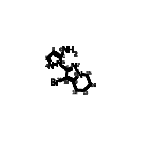 Nc1ccnn1-c1nn2c(c1Br)CCCC2